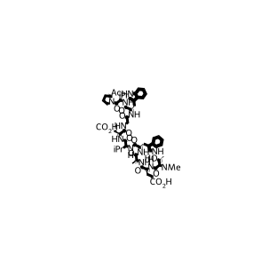 CNC(C(=O)N[C@@H](CCC(=O)O)C(=O)N[C@@H](C)C(=O)N[C@@H](Cc1c[nH]c2ccccc12)C(=O)NC(C(=O)N[C@@H](CC(=O)O)C(=O)NCC(=O)N[C@@H](Cc1c[nH]c2ccccc12)C(=O)NC(C(=O)N1CCC[C@H]1C(C)=O)C(C)C)C(C)C)[C@@H](C)O